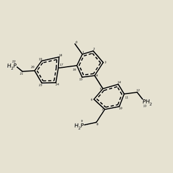 Cc1ccc(-c2cc(CP)cc(CP)c2)cc1-c1ccc(CP)cc1